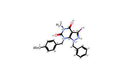 COc1ccc(Cn2c(=O)n(C)c(=O)c3c(I)nn(Cc4ccccc4)c32)cc1